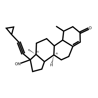 CC1CC(=O)C=C2CC[C@@H]3C(CC[C@@]4(C)C3CCC4(C#CC3CC3)N=O)C21